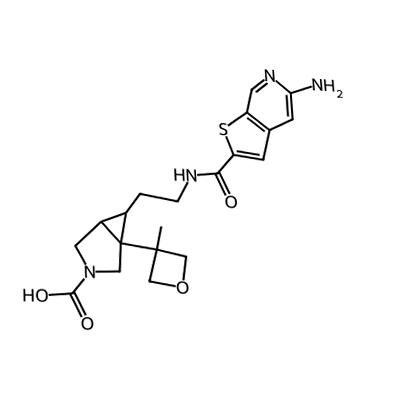 CC1(C23CN(C(=O)O)CC2C3CCNC(=O)c2cc3cc(N)ncc3s2)COC1